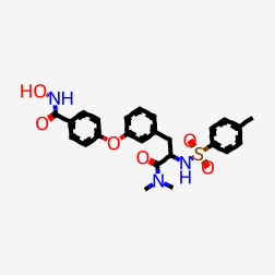 Cc1ccc(S(=O)(=O)NC(Cc2cccc(Oc3ccc(C(=O)NO)cc3)c2)C(=O)N(C)C)cc1